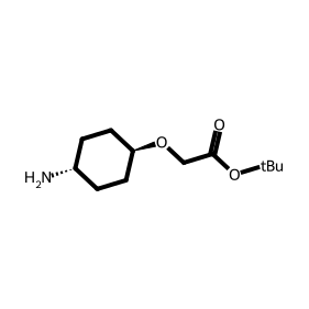 CC(C)(C)OC(=O)CO[C@H]1CC[C@H](N)CC1